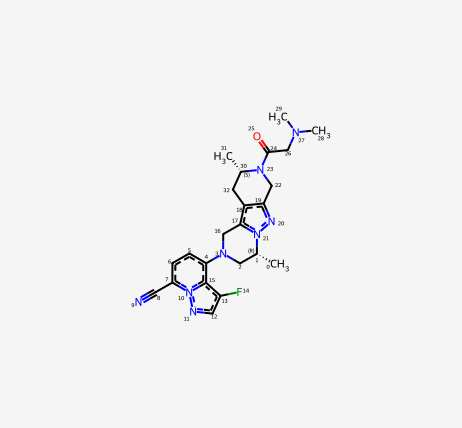 C[C@@H]1CN(c2ccc(C#N)n3ncc(F)c23)Cc2c3c(nn21)CN(C(=O)CN(C)C)[C@@H](C)C3